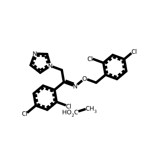 CC(=O)O.Clc1ccc(CO/N=C(\Cn2ccnc2)c2ccc(Cl)cc2Cl)c(Cl)c1